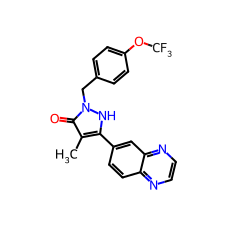 Cc1c(-c2ccc3nccnc3c2)[nH]n(Cc2ccc(OC(F)(F)F)cc2)c1=O